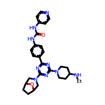 CCNC1CCN(c2nc(-c3ccc(NC(=O)Nc4ccncc4)cc3)nc(N3CC4CCC(C3)O4)n2)CC1